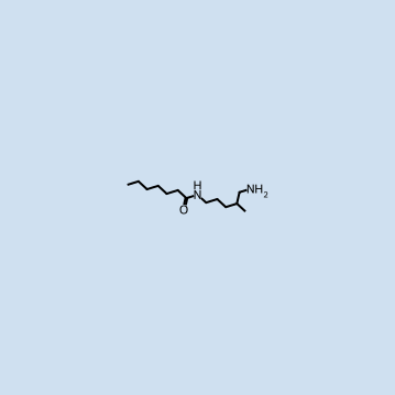 CCCCCCC(=O)NCCCC(C)CN